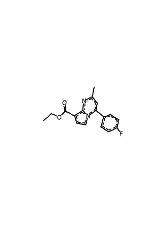 CCOC(=O)c1ccn2c(-c3ccc(F)cc3)cc(C)nc12